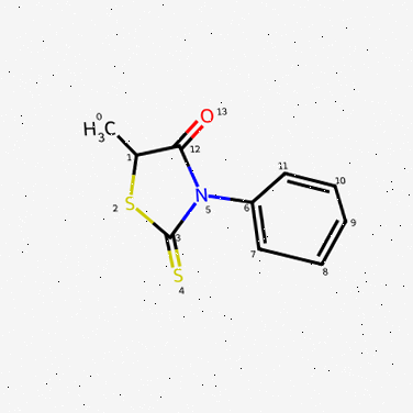 CC1SC(=S)N(c2ccccc2)C1=O